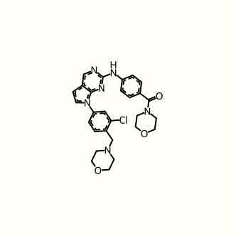 O=C(c1ccc(Nc2ncc3ccn(-c4ccc(CN5CCOCC5)c(Cl)c4)c3n2)cc1)N1CCOCC1